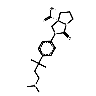 CN(C)CCC(C)(C)c1ccc(N2C[C@@]3(C(N)=O)[CH]CCN3C2=O)cc1